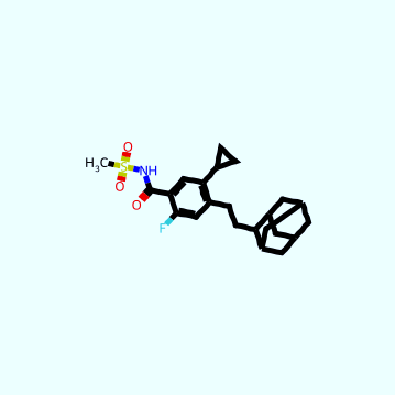 CS(=O)(=O)NC(=O)c1cc(C2CC2)c(CCC2C3CC4CC(C3)CC2C4)cc1F